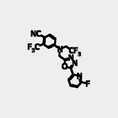 N#Cc1ccc(N(Cc2nnc(-c3cccc(F)n3)o2)CC(F)(F)F)cc1C(F)(F)F